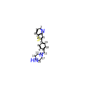 [c]1ccnc2cc(-c3ccc(CN4CCNCC4)cc3)sc12